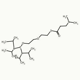 CC(C)N(C(C)C)P(OCCOCCSC(=O)CCN(C)C)N(C(C)C)C(C)C